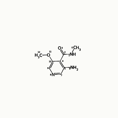 CNC(=O)c1c(N)cncc1OC